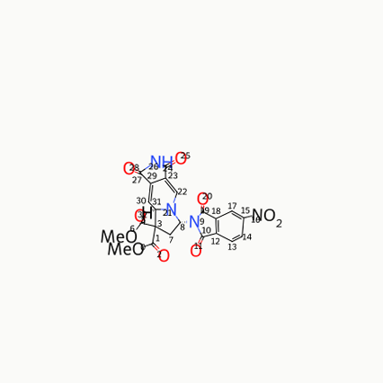 COC(=O)C1(C(=O)OC)C[C@@H](N2C(=O)c3ccc([N+](=O)[O-])cc3C2=O)N2C=C3C(=O)NC(=O)C3=C[C@@H]21